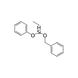 CC[SiH](OCc1ccccc1)Oc1ccccc1